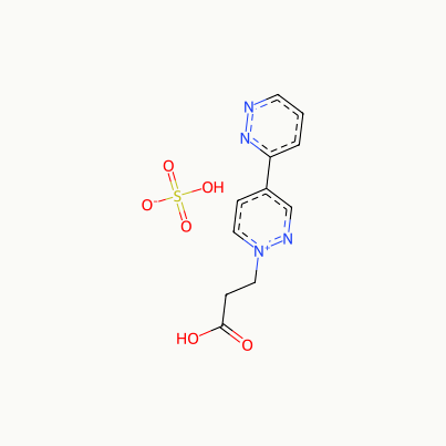 O=C(O)CC[n+]1ccc(-c2cccnn2)cn1.O=S(=O)([O-])O